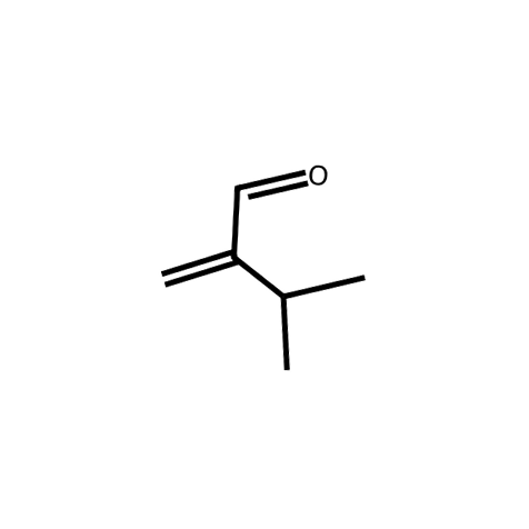 C=C(C=O)C(C)C